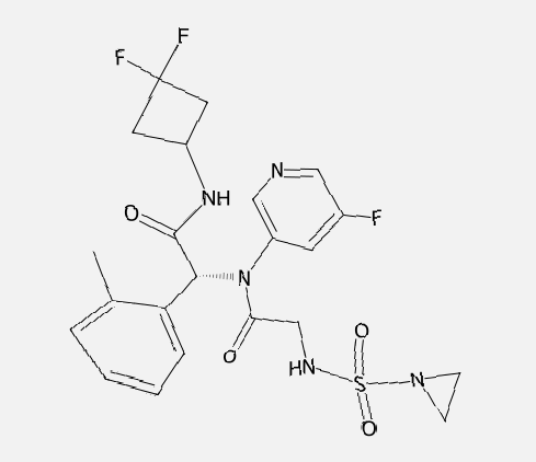 Cc1ccccc1[C@H](C(=O)NC1CC(F)(F)C1)N(C(=O)CNS(=O)(=O)N1CC1)c1cncc(F)c1